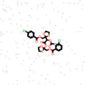 CC(=O)OC(C(=O)OC1(COC(=O)c2cccc(Cl)c2)OCCS1)C1(COC(=O)c2ccc(Cl)cc2)OCCS1